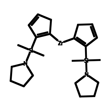 C[Si](C)(C1=[C]([Zr][C]2=C([Si](C)(C)N3CCCC3)C=CC2)CC=C1)N1CCCC1